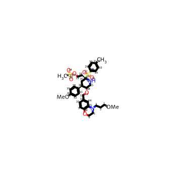 COCCCN1CCOc2ccc(CO[C@H]3CN[C@@](CCOS(C)(=O)=O)(S(=O)(=O)c4ccc(C)cc4)C[C@@H]3c3ccc(OC)cc3)cc21